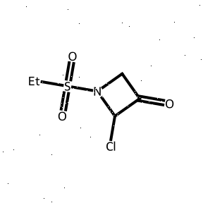 CCS(=O)(=O)N1CC(=O)C1Cl